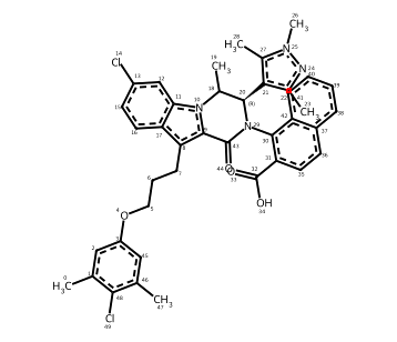 Cc1cc(OCCCc2c3n(c4cc(Cl)ccc24)C(C)[C@@H](c2c(C)nn(C)c2C)N(c2c(C(=O)O)ccc4ccccc24)C3=O)cc(C)c1Cl